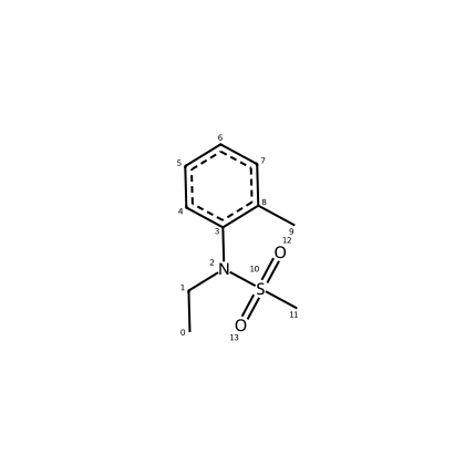 CCN(c1ccccc1C)S(C)(=O)=O